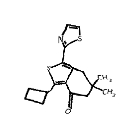 CC1(C)CC(=O)c2c(C3CCC3)sc(-c3nccs3)c2C1